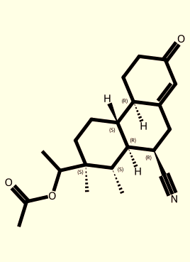 CC(=O)OC(C)[C@@]1(C)CC[C@H]2[C@@H]([C@H](C#N)CC3=CC(=O)CC[C@@H]32)[C@@H]1C